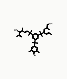 C=C(C)/C(O)=C(C)\C=C\C(C)(C)c1cc(C(C)(C)C(/C=C/C)=C/C(C)=C/O)cc(C(C)(C)c2cc(C)c(O)c(C)c2)c1